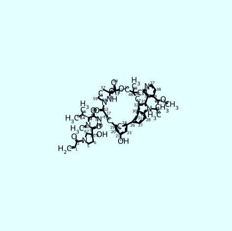 C=CC(=O)N1CC[C@](O)(C(=O)N(C)[C@H](C(=O)N[C@H]2Cc3cc(O)cc(c3)-c3ccc4c(c3)c(c(-c3cnccc3[C@H](C)OC)n4CC)CC(C)(C)COC(=O)[C@@]3(O)CCCN(N3)C2=O)C(C)C)C1